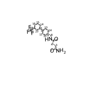 NC(=O)CCC(=O)NCc1ccc(-c2cccc(C(F)(F)F)c2)cc1